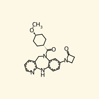 CO[C@H]1CC[C@H](C(=O)N2Cc3cccnc3Nc3ccc(N4CCC4=O)cc32)CC1